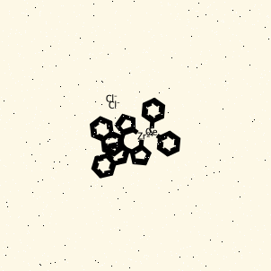 C1=CC(c2ccc3ccccc3c2)=[C]([Zr+2]([C]2=C(c3ccc4ccccc4c3)C=CC2)=[Ge]([c]2ccccc2)[c]2ccccc2)C1.[Cl-].[Cl-]